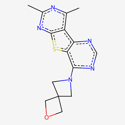 Cc1nc(C)c2c(n1)sc1c(N3CC4(COC4)C3)ncnc12